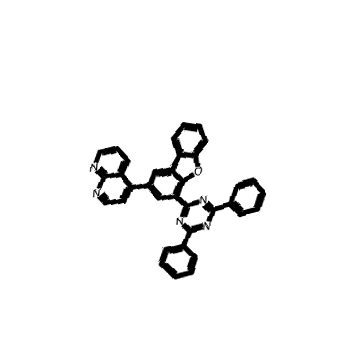 c1ccc(-c2nc(-c3ccccc3)nc(-c3cc(-c4ccnc5ncccc45)cc4c3oc3ccccc34)n2)cc1